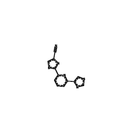 N#Cc1csc(-c2cccc(-c3cscn3)n2)n1